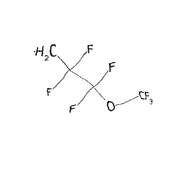 [CH2]C(F)(F)C(F)(F)OC(F)(F)F